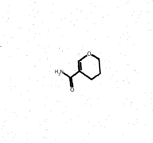 NC(=O)C1=COCCC1